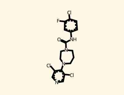 O=C(Nc1ccc(Cl)c(F)c1)N1CCCN(c2c(Cl)cncc2Cl)CC1